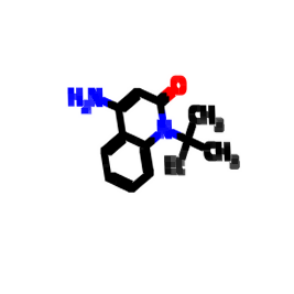 CCC(C)(C)n1c(=O)cc(N)c2ccccc21